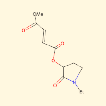 CCN1CCC(OC(=O)/C=C/C(=O)OC)C1=O